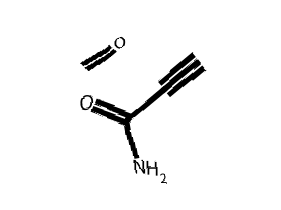 C#CC(N)=O.C=O